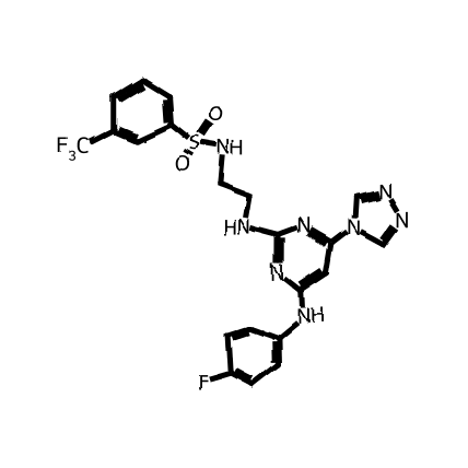 O=S(=O)(NCCNc1nc(Nc2ccc(F)cc2)cc(-n2cnnc2)n1)c1cccc(C(F)(F)F)c1